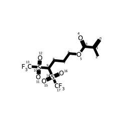 C=C(C)C(=O)OCCCC(S(=O)(=O)C(F)(F)F)S(=O)(=O)C(F)(F)F